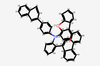 c1ccc(N(c2ccc(-c3ccc4ccccc4c3)cc2)c2cccc3c2oc2ccccc23)c(-c2cc3ccccc3c3ccccc23)c1